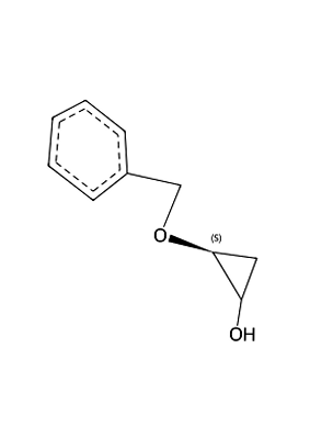 OC1C[C@@H]1OCc1ccccc1